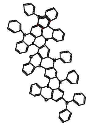 c1ccc(-c2ccccc2N2c3cc(N(c4ccccc4)c4ccccc4)cc4c3B(c3ccccc3N4c3ccccc3)c3c2cc2c4c3Oc3ccccc3B4c3cc4c(cc3N2c2ccccc2)N(c2ccccc2)c2cc(N(c3ccccc3)c3ccccc3)cc3c2B4c2ccccc2O3)cc1